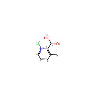 Cc1ccc[n+](Cl)c1C(=O)O